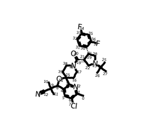 Cc1nc2c(cc1Cl)C(C(C)(C)C#N)OC21CCN(C(=O)[C@@H]2CN(C(C)(C)C)C[C@H]2c2ccc(F)cc2F)CC1